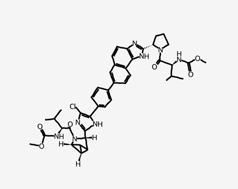 COC(=O)N[C@H](C(=O)N1CCC[C@H]1c1nc2ccc3cc(-c4ccc(-c5[nH]c([C@@H]6C7C8[C@H]7[C@@H]8N6C(=O)[C@@H](NC(=O)OC)C(C)C)nc5Cl)cc4)ccc3c2[nH]1)C(C)C